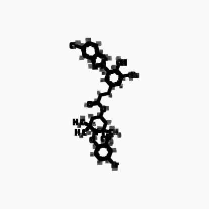 CC(C)(C)c1cc(CCC(=O)OC2CC(C)(C)N(Oc3ccc(Br)cc3Br)C(C)(C)C2)cc(-n2nc3ccc(Cl)cc3n2)c1O